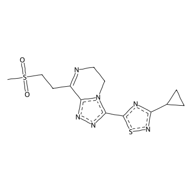 CS(=O)(=O)CCC1=NCCn2c1nnc2-c1nc(C2CC2)ns1